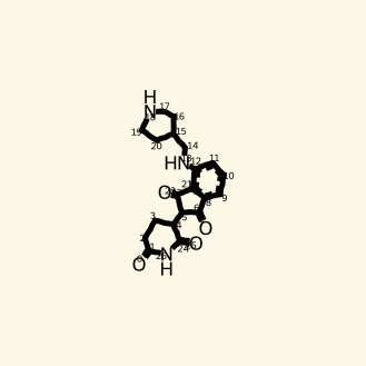 O=C1CCC(C2C(=O)c3cccc(NCC4CCNCC4)c3C2=O)C(=O)N1